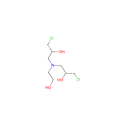 OCCN(CC(O)CCl)CC(O)CCl